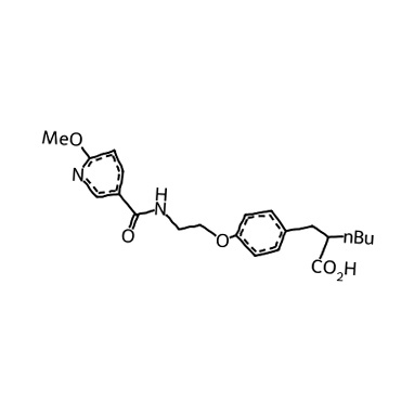 CCCCC(Cc1ccc(OCCNC(=O)c2ccc(OC)nc2)cc1)C(=O)O